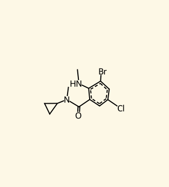 CNc1c(Br)cc(Cl)cc1C(=O)N(C)C1CC1